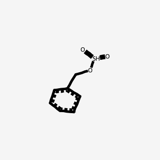 O=[SH](=O)OCc1c[c]ccc1